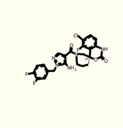 Nc1c(C(=O)N2CCC[C@@]3(C2)OC(=O)Nc2ccc(Cl)c(F)c23)cnn1Cc1ccc(F)c(F)c1